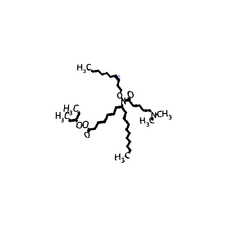 CCCCCC/C=C\CCON(C(=O)CCCCN(C)C)C(CCCCCCCCCC)CCCCCCC(=O)OOC(CC)CC